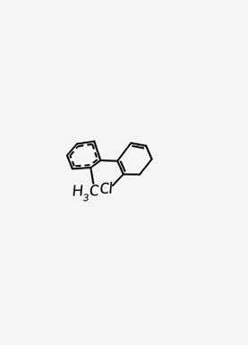 Cc1ccccc1C1=C(Cl)CCC=C1